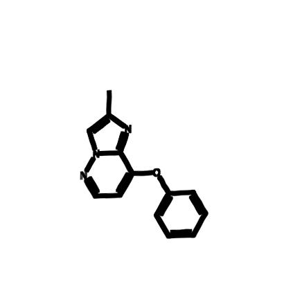 Cc1cn2nccc(Oc3ccccc3)c2n1